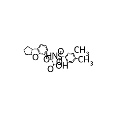 Cc1ccc(S(=O)(=O)NC(Oc2cccc3c2OC2CCCC32)C(=O)O)cc1C